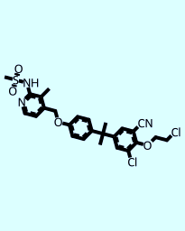 Cc1c(COc2ccc(C(C)(C)c3cc(Cl)c(OCCCl)c(C#N)c3)cc2)ccnc1NS(C)(=O)=O